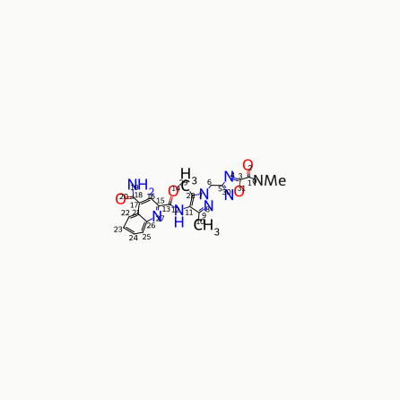 CNC(=O)c1nc(Cn2nc(C)c(NC(=O)c3cc(C(N)=O)c4ccccc4n3)c2C)no1